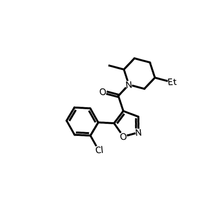 CCC1CCC(C)N(C(=O)c2cnoc2-c2ccccc2Cl)C1